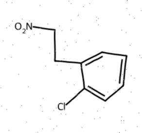 O=[N+]([O-])CCc1ccccc1Cl